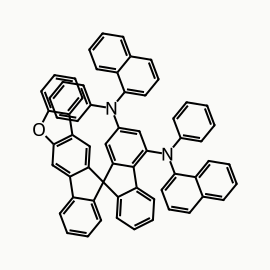 c1ccc(N(c2cc(N(c3ccccc3)c3cccc4ccccc34)c3c(c2)C2(c4ccccc4-c4cc5oc6ccccc6c5cc42)c2ccccc2-3)c2cccc3ccccc23)cc1